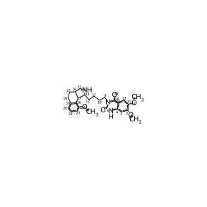 COc1cc2[nH]c(=O)n(CCCCC3NCC4CCc5cccc(OC)c5C43)c(=O)c2cc1OC